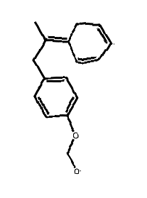 CC(Cc1ccc(OC[O])cc1)=C1C=C[C]=CC1